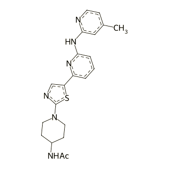 CC(=O)NC1CCN(c2ncc(-c3cccc(Nc4cc(C)ccn4)n3)s2)CC1